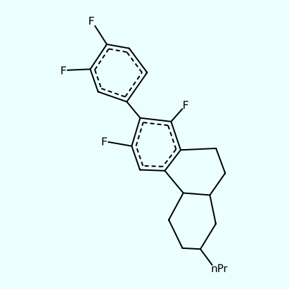 CCCC1CCC2c3cc(F)c(-c4ccc(F)c(F)c4)c(F)c3CCC2C1